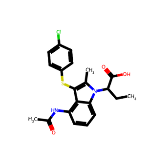 CCC(C(=O)O)n1c(C)c(Sc2ccc(Cl)cc2)c2c(NC(C)=O)cccc21